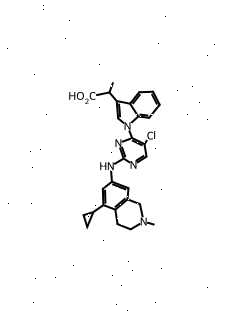 CC(C(=O)O)c1cn(-c2nc(Nc3cc4c(c(C5CC5)c3)CCN(C)C4)ncc2Cl)c2ccccc12